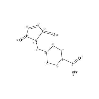 CCCC(=O)C1CCC(CN2C(=O)C=CC2=O)CC1